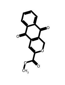 COC(=O)C1=CC2=C(CO1)C(=O)c1ccccc1C2=O